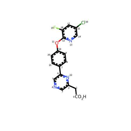 O=C(O)Cc1cncc(-c2ccc(Oc3ncc(Cl)cc3F)cc2)n1